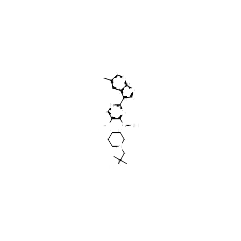 CC(C)(O)CN1CCC[C@H](N(N)c2nc(-c3c[nH]c4ncc(Cl)cc34)ncc2F)C1